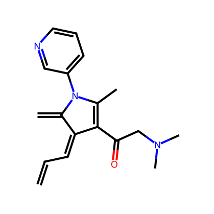 C=C/C=c1/c(C(=O)CN(C)C)c(C)n(-c2cccnc2)c1=C